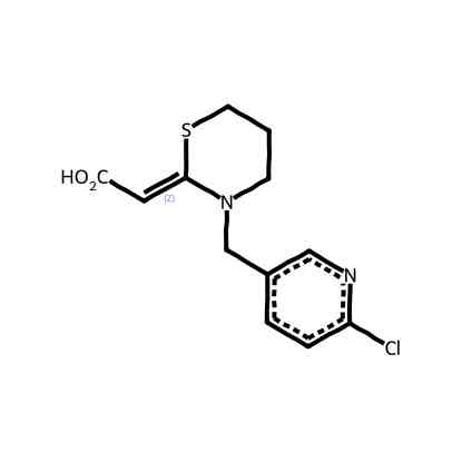 O=C(O)/C=C1\SCCCN1Cc1ccc(Cl)nc1